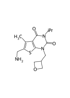 Cc1c(CN)sc2c1c(=O)n(C(C)C)c(=O)n2CC1COC1